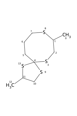 CC1CSC2(CCCS1)SCC(C)S2